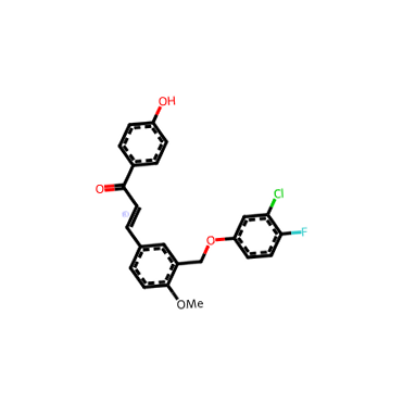 COc1ccc(/C=C/C(=O)c2ccc(O)cc2)cc1COc1ccc(F)c(Cl)c1